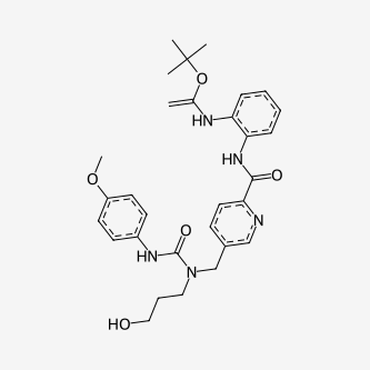 C=C(Nc1ccccc1NC(=O)c1ccc(CN(CCCO)C(=O)Nc2ccc(OC)cc2)cn1)OC(C)(C)C